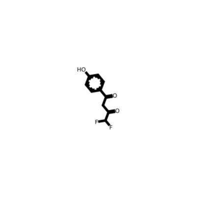 O=C(CC(=O)C(F)F)c1ccc(O)cc1